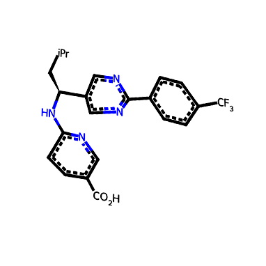 CC(C)C[C@H](Nc1ccc(C(=O)O)cn1)c1cnc(-c2ccc(C(F)(F)F)cc2)nc1